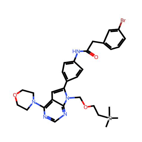 C[Si](C)(C)CCOCn1c(-c2ccc(NC(=O)Cc3cccc(Br)c3)cc2)cc2c(N3CCOCC3)ncnc21